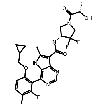 Cc1ccc(OCC2CC2)c(-c2ncnc3c(C(=O)N[C@@H]4CN(C(=O)[C@H](C)O)CC4(F)F)c(C)[nH]c23)c1F